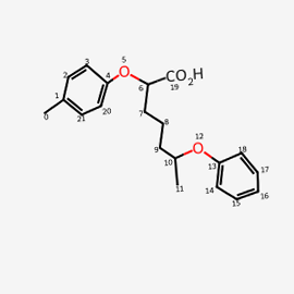 Cc1ccc(OC(CCCC(C)Oc2ccccc2)C(=O)O)cc1